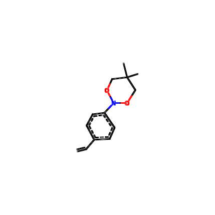 C=Cc1ccc(N2OCC(C)(C)CO2)cc1